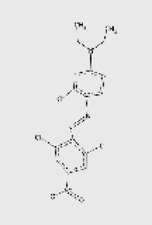 CCN(CC)c1ccc(N=Nc2c(Cl)cc([N+](=O)[O-])cc2Cl)c(Cl)c1